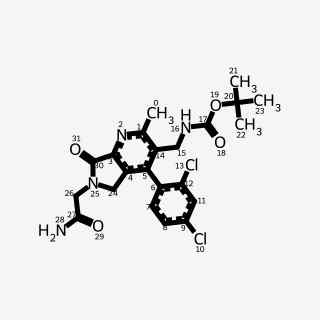 Cc1nc2c(c(-c3ccc(Cl)cc3Cl)c1CNC(=O)OC(C)(C)C)CN(CC(N)=O)C2=O